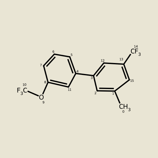 Cc1cc(-c2cccc(OC(F)(F)F)c2)cc(C(F)(F)F)c1